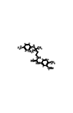 COc1cc(NC(=N)NCCC(C)(C)Oc2ccc(C(F)(F)F)cc2)cnc1C